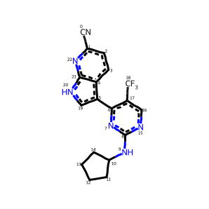 N#Cc1ccc2c(-c3nc(NC4CCCC4)ncc3C(F)(F)F)c[nH]c2n1